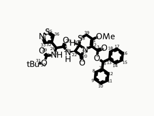 COC1=C(C(=O)OC(c2ccccc2)c2ccccc2)N2C(=O)[C@@H](NC(=O)C(NC(=O)OC(C)(C)C)c3cnsc3)[C@@H]2SC1